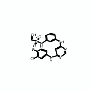 C=CS(=O)(=O)Nc1cccc(Nc2cc(Nc3ccc(F)c(Cl)c3)ncn2)c1